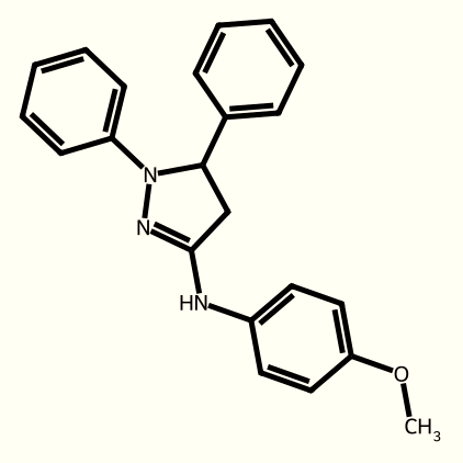 COc1ccc(NC2=NN(c3ccccc3)C(c3ccccc3)C2)cc1